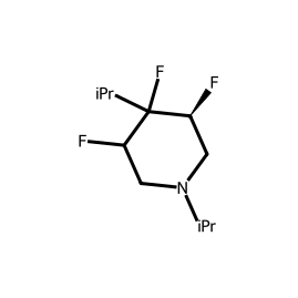 CC(C)N1CC(F)C(F)(C(C)C)[C@@H](F)C1